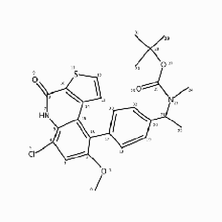 COc1cc(Cl)c2[nH]c(=O)c3sccc3c2c1-c1ccc(C(C)N(C)C(=O)OC(C)(C)C)cc1